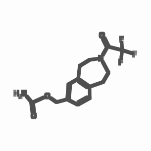 NC(=O)OCc1ccc2c(c1)CCN(C(=O)C(F)(F)F)CC2